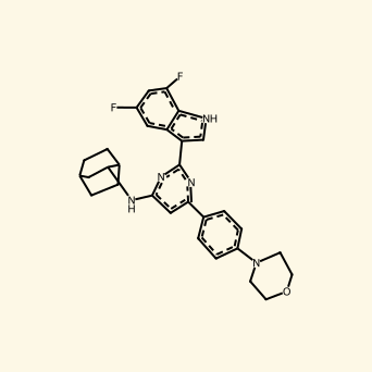 Fc1cc(F)c2[nH]cc(-c3nc(NC4CC5CCC4CC5)cc(-c4ccc(N5CCOCC5)cc4)n3)c2c1